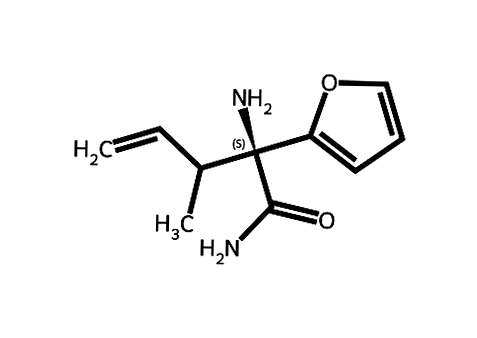 C=CC(C)[C@@](N)(C(N)=O)c1ccco1